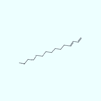 C=CC=CCCCCCC[CH]CCCC